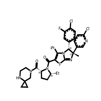 CC[C@@H]1CC[C@H](C(=O)N2CCNC3(CC3)C2)N1C(=O)C1=C(C(C)C)N2C(=N[C@@](C)(c3ccc(Cl)nc3)[C@H]2c2ccc(Cl)c(F)c2)S1